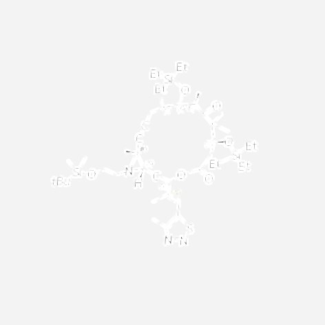 CC[Si](CC)(CC)O[C@H]1[C@@H](C)CCC[C@]2(C)[C@H](C[C@@H](/C(C)=C/c3snnc3C)OC(=O)C[C@H](O[Si](CC)(CC)CC)C(C)(C)C(=O)[C@@H]1C)N2CCO[Si](C)(C)C(C)(C)C